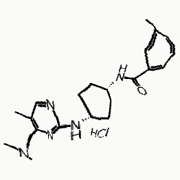 Cc1cccc(C(=O)N[C@H]2CC[C@@H](Nc3ncc(C)c(N(C)C)n3)CC2)c1.Cl